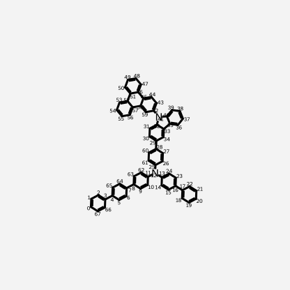 c1ccc(-c2ccc(-c3ccc(N(c4ccc(-c5ccccc5)cc4)c4ccc(-c5ccc6c(c5)c5ccccc5n6-c5ccc6c7ccccc7c7ccccc7c6c5)cc4)cc3)cc2)cc1